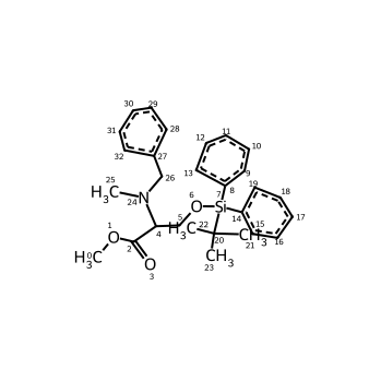 COC(=O)C(CO[Si](c1ccccc1)(c1ccccc1)C(C)(C)C)N(C)Cc1ccccc1